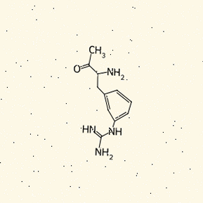 CC(=O)C(N)Cc1cccc(NC(=N)N)c1